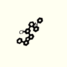 Clc1cc(C2=CCCc3c2c2ccccc2n3-c2ccccc2)cc(-c2cccc3c2Cc2c(C4=CC=CCC4)cccc2-3)c1